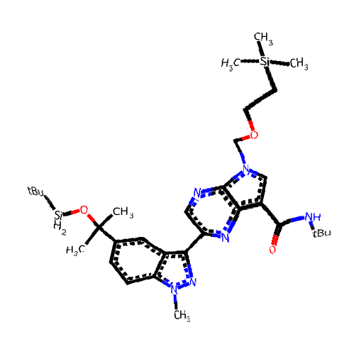 Cn1nc(-c2cnc3c(n2)c(C(=O)NC(C)(C)C)cn3COCC[Si](C)(C)C)c2cc(C(C)(C)O[SiH2]C(C)(C)C)ccc21